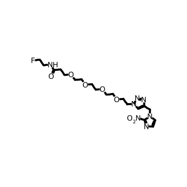 O=C(CCOCCOCCOCCOCCn1cc(Cn2ccnc2[N+](=O)[O-])nn1)NCCF